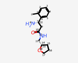 Cc1ccccc1[C@@H](N)CC(=O)NC[C@@H]1CCCO1